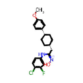 COc1ccc([C@H]2CC[C@@H](C/C(=N/O)Nc3ccc(Cl)c(F)c3)CC2)cc1